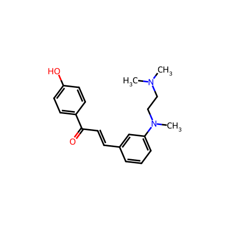 CN(C)CCN(C)c1cccc(C=CC(=O)c2ccc(O)cc2)c1